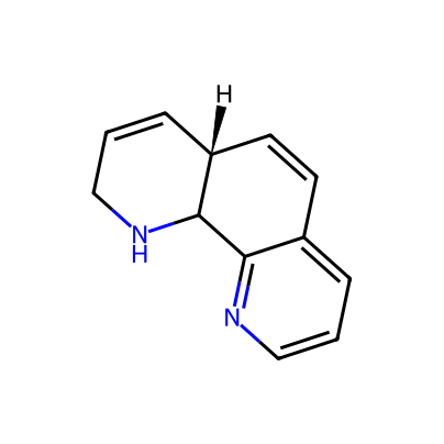 C1=C[C@@H]2C=Cc3cccnc3C2NC1